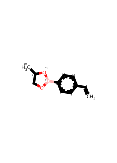 C=Cc1ccc(B2OCC(C)O2)cc1